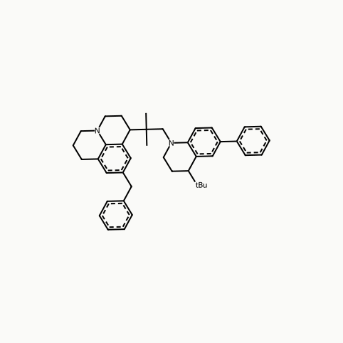 CC(C)(C)C1CCN(CC(C)(C)C2CCN3CCCc4cc(Cc5ccccc5)cc2c43)c2ccc(-c3ccccc3)cc21